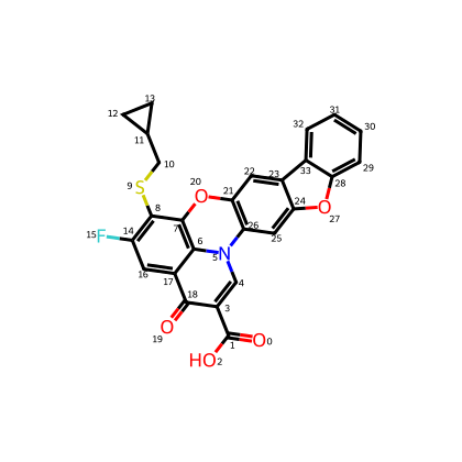 O=C(O)c1cn2c3c(c(SCC4CC4)c(F)cc3c1=O)Oc1cc3c(cc1-2)oc1ccccc13